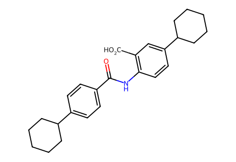 O=C(Nc1ccc(C2CCCCC2)cc1C(=O)O)c1ccc(C2CCCCC2)cc1